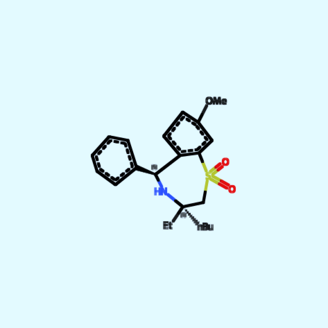 CCCC[C@@]1(CC)CS(=O)(=O)c2cc(OC)ccc2[C@H](c2ccccc2)N1